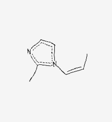 C/C=C\n1ccnc1C